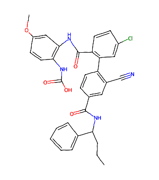 CCCC(NC(=O)c1ccc(-c2cc(Cl)ccc2C(=O)Nc2cc(OC)ccc2NC(=O)O)c(C#N)c1)c1ccccc1